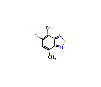 Cc1cc(F)c(Br)c2nsnc12